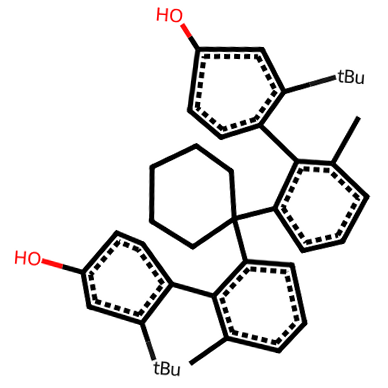 Cc1cccc(C2(c3cccc(C)c3-c3ccc(O)cc3C(C)(C)C)CCCCC2)c1-c1ccc(O)cc1C(C)(C)C